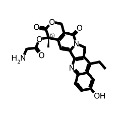 CCc1c2c(nc3ccc(O)cc13)-c1cc3c(c(=O)n1C2)COC(=O)[C@@]3(C)OC(=O)CN